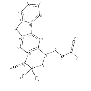 CC(=O)OCC1CC(F)(F)C(=O)c2cc3c(cc21)-c1ccccc1C3